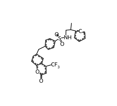 CC(CNS(=O)(=O)c1ccc(Cc2ccc3oc(=O)cc(C(F)(F)F)c3c2)cc1)c1ccccc1